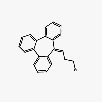 BrCCC=C1c2ccccc2-c2ccccc2-c2ccccc21